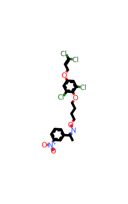 CC(=NOCCCCOc1c(Cl)cc(OCC=C(Cl)Cl)cc1Cl)c1cccc([N+](=O)[O-])c1